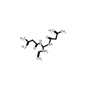 C=C[SiH2]C(NC(=O)CC(=C)C)NC(=O)CC(=C)C